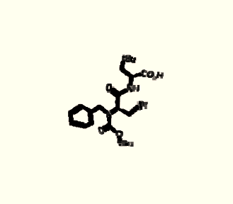 CC(C)C[C@H](C(=O)N[C@@H](CC(C)(C)C)C(=O)O)N(Cc1ccccc1)C(=O)OC(C)(C)C